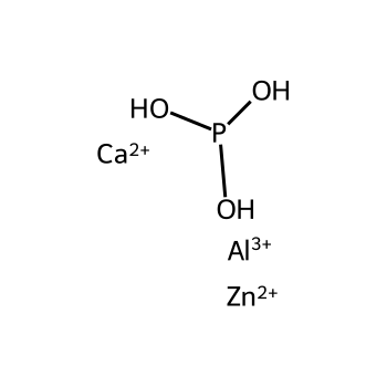 OP(O)O.[Al+3].[Ca+2].[Zn+2]